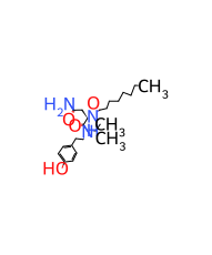 CCCCCCCC(=O)N[C@H](CC(N)=O)C(=O)N(CCc1ccc(O)cc1)C(C)C